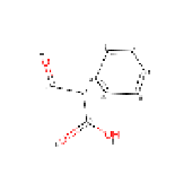 O=CCC(=O)O.[c]1ccccc1